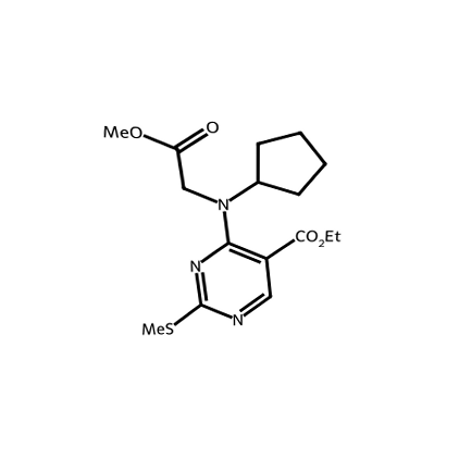 CCOC(=O)c1cnc(SC)nc1N(CC(=O)OC)C1CCCC1